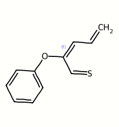 C=C/C=C(\C=S)Oc1ccccc1